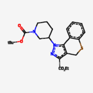 CCOC(=O)c1nn(C2CCCN(C(=O)OC(C)(C)C)C2)c2c1CSc1ccccc1-2